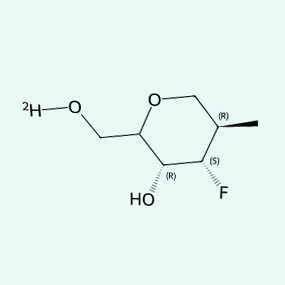 [2H]OCC1OC[C@@H](C)[C@H](F)[C@@H]1O